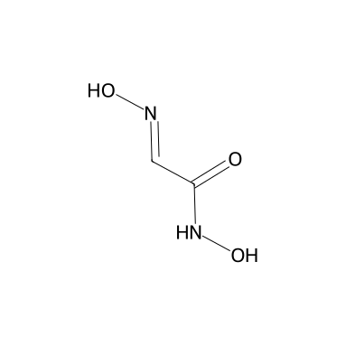 O=C(/C=N/O)NO